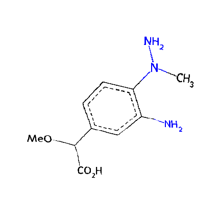 COC(C(=O)O)c1ccc(N(C)N)c(N)c1